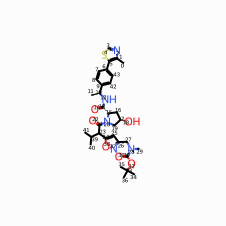 Cc1ncsc1-c1ccc([C@H](C)NC(=O)[C@@H]2C[C@@H](O)CN2C(=O)C(c2cc(CN(C)C(=O)OC(C)(C)C)no2)C(C)C)cc1